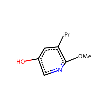 COc1ncc(O)cc1C(C)C